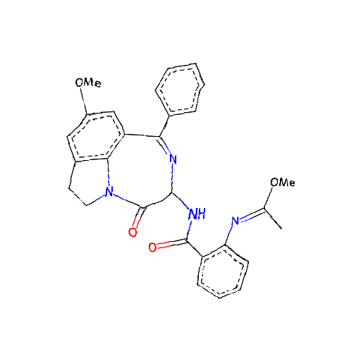 CO/C(C)=N/c1ccccc1C(=O)NC1N=C(c2ccccc2)c2cc(OC)cc3c2N(CC3)C1=O